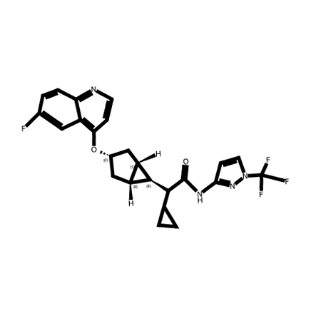 O=C(Nc1ccn(C(F)(F)F)n1)C(C1CC1)[C@H]1[C@@H]2C[C@H](Oc3ccnc4ccc(F)cc34)C[C@@H]21